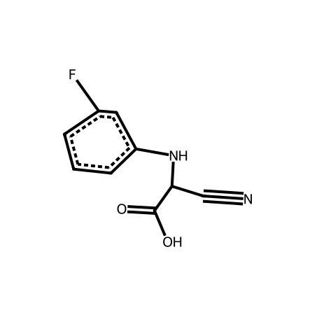 N#CC(Nc1cccc(F)c1)C(=O)O